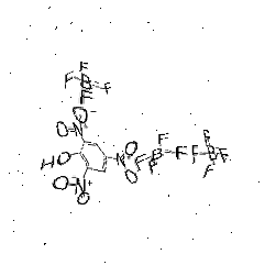 F[B-](F)(F)F.F[B-](F)(F)F.F[B-](F)(F)F.O=[N+]([O-])c1cc([N+](=O)[O-])c(O)c([N+](=O)[O-])c1